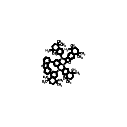 CC1(C)CCC(C)(C)c2cc(N3c4cc5c(cc4B4c6oc7cc8c(cc7c6N(c6ccc7c(c6)C(C)(C)CCC7(C)C)c6cc(-c7cccc9oc%10ccccc%10c79)cc3c64)C(C)(C)CCC8(C)C)C(C)(C)CCC5(C)C)ccc21